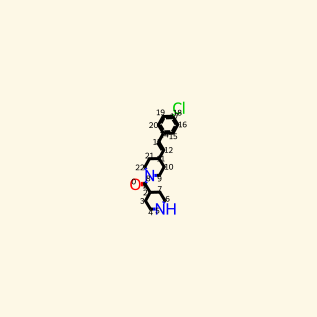 O=C(C1CCNCC1)N1CCC(/C=C/c2ccc(Cl)cc2)CC1